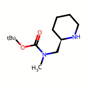 CN(C[C@H]1CCCCN1)C(=O)OC(C)(C)C